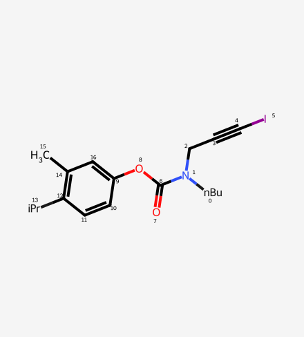 CCCCN(CC#CI)C(=O)Oc1ccc(C(C)C)c(C)c1